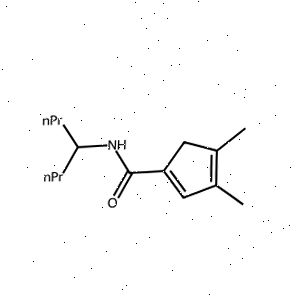 CCCC(CCC)NC(=O)C1=CC(C)=C(C)C1